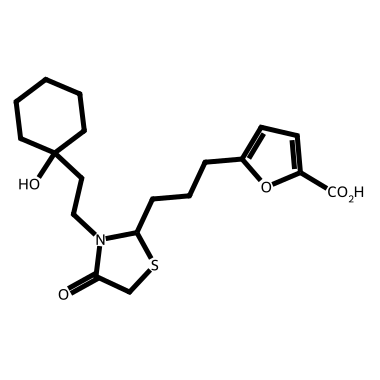 O=C(O)c1ccc(CCCC2SCC(=O)N2CCC2(O)CCCCC2)o1